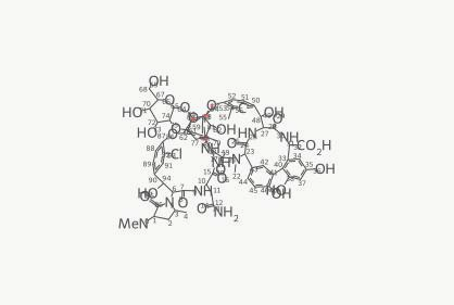 CNC1CC(C)N(C2C(=O)NC(CC(N)=O)C(=O)NC3C(=O)N(C)C4C(=O)NC(C(=O)NC(C(=O)O)c5cc(O)cc(O)c5-c5cc4ccc5O)C(O)c4ccc(c(C)c4)Oc4cc3cc(c4OC3OC(CO)C(O)C(O)C3OC3CC(C)(N)C(O)C(C)O3)Oc3ccc(cc3Cl)C2O)C1=O